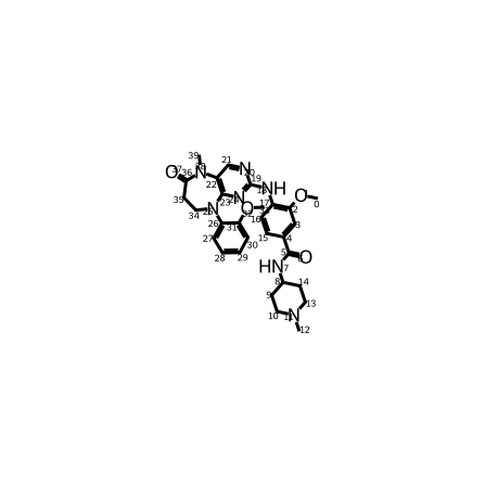 COc1cc(C(=O)NC2CCN(C)CC2)ccc1Nc1ncc2c(n1)N(c1ccccc1OC)CCC(=O)N2C